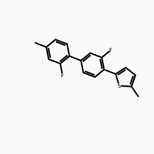 Cc1ccc(-c2ccc(-c3ccc(C)s3)c(F)c2)c(F)c1